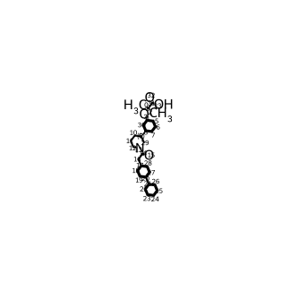 CC(C)(Oc1cccc([C@@H]2CCCN(C(=O)Cc3ccc(-c4ccccc4)cc3)C2)c1)C(=O)O